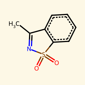 CC1=NS(=O)(=O)c2ccccc21